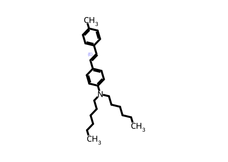 CCCCCCN(CCCCCC)c1ccc(/C=C/c2ccc(C)cc2)cc1